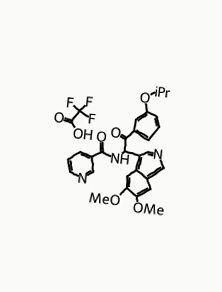 COc1cc2cncc(C(NC(=O)c3cccnc3)C(=O)c3cccc(OC(C)C)c3)c2cc1OC.O=C(O)C(F)(F)F